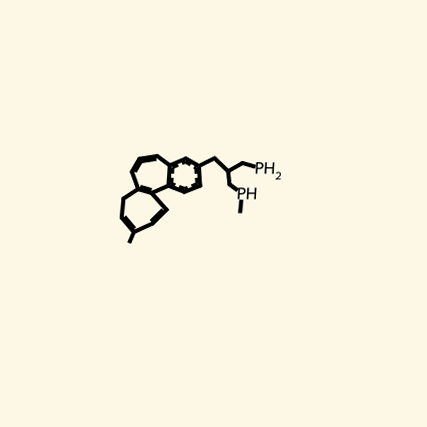 CPCC(CP)Cc1ccc2c(c1)C=C=CC1=C2C=CC(C)=CC1